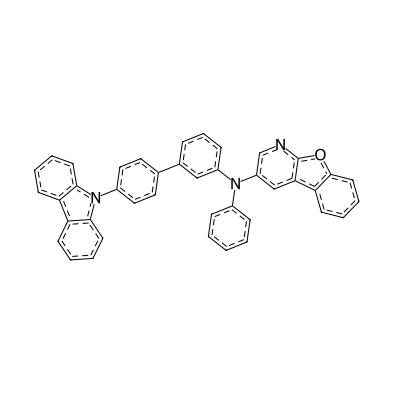 c1ccc(N(c2cccc(-c3ccc(-n4c5ccccc5c5ccccc54)cc3)c2)c2cnc3oc4ccccc4c3c2)cc1